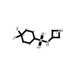 O=S(=O)(NC1CNC1)C1CCC(F)(F)CC1